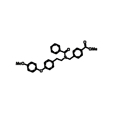 COC(=O)c1ccc(CN(CCc2ccc(Oc3ccc(OC)cc3)cc2)C(=O)c2ccccc2)cc1